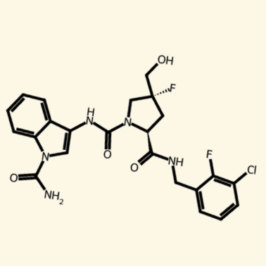 NC(=O)n1cc(NC(=O)N2C[C@@](F)(CO)C[C@H]2C(=O)NCc2cccc(Cl)c2F)c2ccccc21